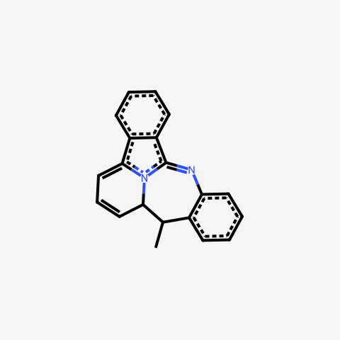 CC1c2ccccc2N=c2c3ccccc3c3n2C1C=CC=3